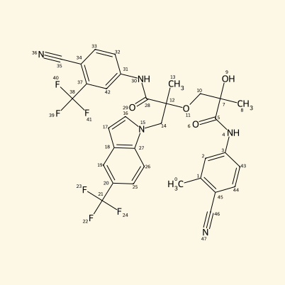 Cc1cc(NC(=O)C(C)(O)COC(C)(Cn2ccc3cc(C(F)(F)F)ccc32)C(=O)Nc2ccc(C#N)c(C(F)(F)F)c2)ccc1C#N